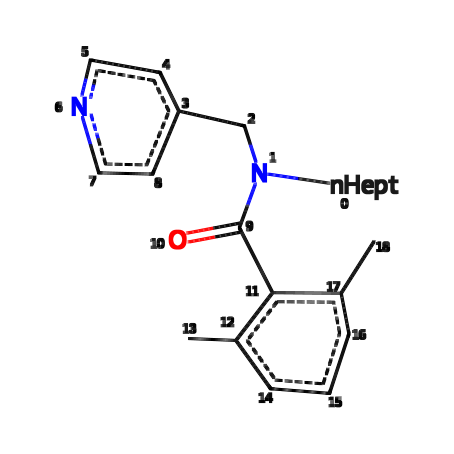 CCCCCCCN(Cc1ccncc1)C(=O)c1c(C)cccc1C